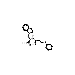 O=C(CCOc1ccccc1)NC(C[C@@H]1COc2ccccc21)B(O)O